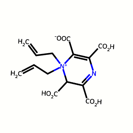 C=CC[N+]1(CC=C)C(C(=O)[O-])=C(C(=O)O)N=C(C(=O)O)C1C(=O)O